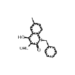 Cc1ccc2c(c1)c(O)c(C=O)c(=O)n2Cc1ccccc1